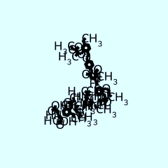 CC1COc2ccccc2N1C(=O)C(Cl)Cl.CCNc1nc(Cl)nc(NC(C)(C)C)n1.CCc1ccc(COc2ccc(-n3c(=O)cc(C(F)(F)F)n(C)c3=O)cc2)c(OC(C)C(=O)OC)c1.CCc1cccc(C)c1N(C(=O)CCl)C(C)COC.O=C(O)CNCP(=O)(O)O